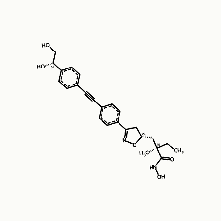 CC[C@](C)(C[C@H]1CC(c2ccc(C#Cc3ccc([C@H](O)CO)cc3)cc2)=NO1)C(=O)NO